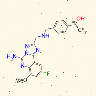 COc1cc(F)cc2c1nc(N)n1nc(CNCc3ccc([C@@H](O)C(F)(F)F)cc3)nc21